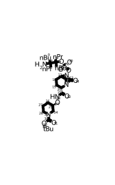 CCCCC(N)(CCC)C(CCC)(CCCC)OS(=O)(=O)ON1C(=O)N2CC1CC[C@H]2C(=O)NO[C@@H]1CCCN(C(=O)OC(C)(C)C)C1